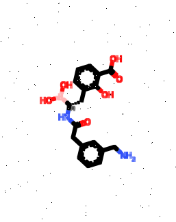 NCc1cccc(CC(=O)N[C@@H](Cc2cccc(C(=O)O)c2O)B(O)O)c1